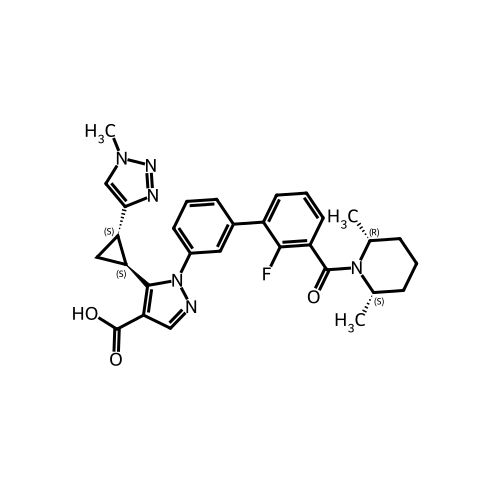 C[C@@H]1CCC[C@H](C)N1C(=O)c1cccc(-c2cccc(-n3ncc(C(=O)O)c3[C@H]3C[C@@H]3c3cn(C)nn3)c2)c1F